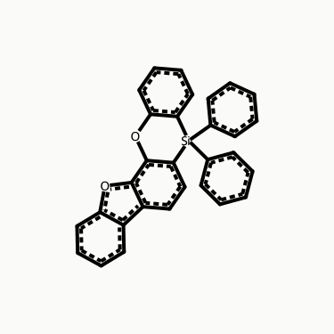 c1ccc([Si]2(c3ccccc3)c3ccccc3Oc3c2ccc2c3oc3ccccc32)cc1